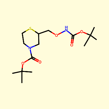 CC(C)(C)OC(=O)NOCC1CN(C(=O)OC(C)(C)C)CCS1